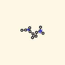 c1ccc(-c2ccc(-n3c4ccccc4c4cc(-c5ccc6c(c5)c5ccccc5c5cccc(-c7cccc(-c8cc(-c9ccccc9)nc(-c9ccccc9)n8)c7)c56)ccc43)cc2)cc1